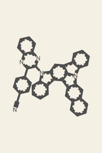 N#Cc1ccc(-c2nc3ccccc3nc2-n2c3ccccc3c3c4c5cc6ccccc6cc5n5c6ccccc6c(cc32)c45)cc1